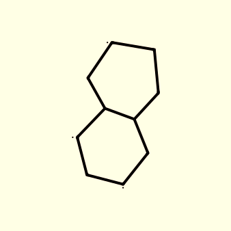 [CH]1CCC2C[CH]C[CH]C2C1